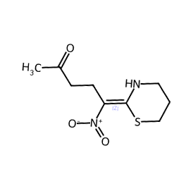 CC(=O)CC/C(=C1\NCCCS1)[N+](=O)[O-]